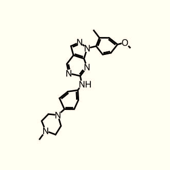 COc1ccc(-n2ncc3cnc(Nc4ccc(N5CCN(C)CC5)cc4)nc32)c(C)c1